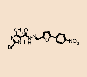 Cc1nc(Br)[nH]c1C(=O)NN=Cc1ccc(-c2ccc([N+](=O)[O-])cc2)o1